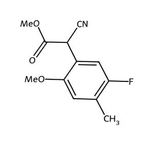 COC(=O)C(C#N)c1cc(F)c(C)cc1OC